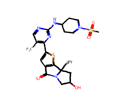 CC(C)C12CC(O)CN1C(=O)c1cc(-c3nc(NC4CCN(S(C)(=O)=O)CC4)ncc3C(F)(F)F)sc12